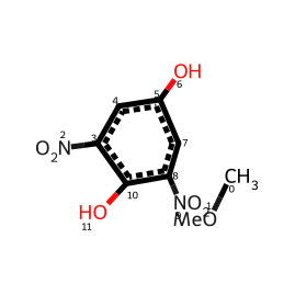 COC.O=[N+]([O-])c1cc(O)cc([N+](=O)[O-])c1O